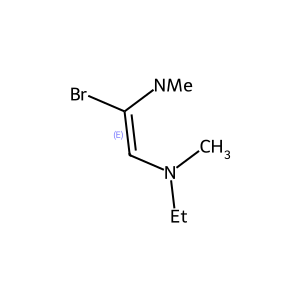 CCN(C)/C=C(/Br)NC